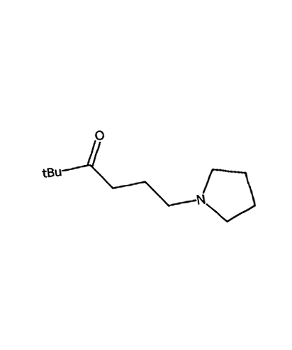 CC(C)(C)C(=O)CCCN1CCCC1